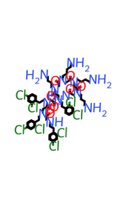 NCCCCN(CC(N)=O)C(=O)CN(CCCCN)C(=O)CN(CCCCN)C(=O)CN(CCCCN)C(=O)CN(CCc1ccc(Cl)cc1Cl)C(=O)CN(CCc1ccc(Cl)cc1Cl)C(=O)CN(CCc1ccc(Cl)cc1Cl)C(=O)CNCCc1ccc(Cl)cc1Cl